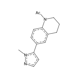 CC(=O)N1CCCc2cc(-c3ccnn3C)ccc21